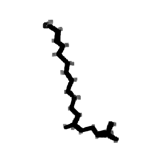 CC(C)=CCCC(C)CCOCCCCCCC=CCl